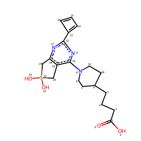 O=C(O)CCCC1CCN(c2nc(C3=CC=C3)nc3c2CS(O)(O)C3)CC1